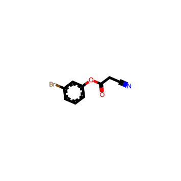 N#CCC(=O)Oc1cccc(Br)c1